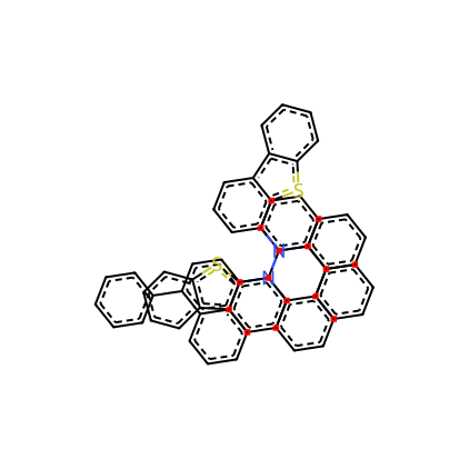 c1ccc(-c2ccccc2N(c2ccccc2-c2ccccc2N(c2cccc3c2sc2ccccc23)c2cccc3c2sc2ccccc23)c2ccc(-c3ccccc3)c3ccccc23)cc1